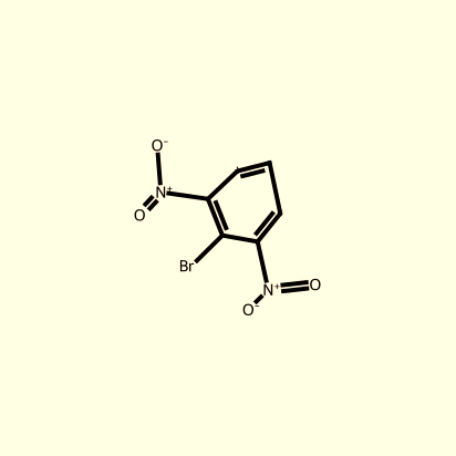 O=[N+]([O-])c1[c]ccc([N+](=O)[O-])c1Br